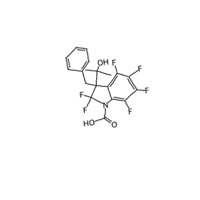 CC(C)(O)C1(Cc2ccccc2)c2c(F)c(F)c(F)c(F)c2N(C(=O)O)C1(F)F